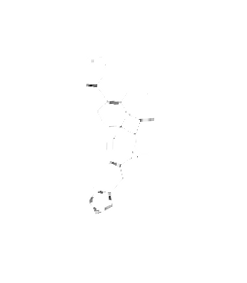 CCCOC(=O)C1=C(C(=O)O)N2C(=O)C(NC(=O)Cc3cccs3)[C@@H]2SC1